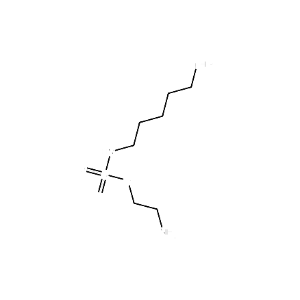 CCCCCCCCCCCCNS(=O)(=O)OCCN